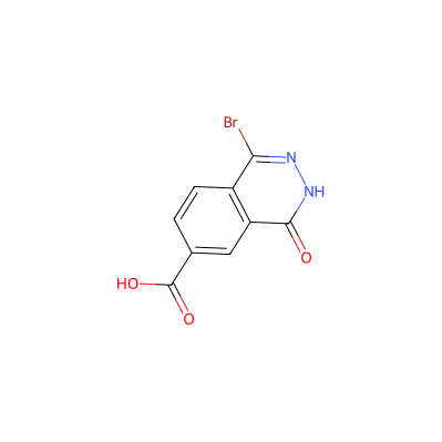 O=C(O)c1ccc2c(Br)n[nH]c(=O)c2c1